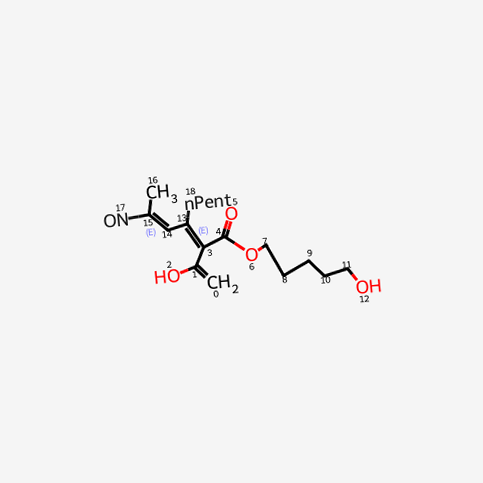 C=C(O)/C(C(=O)OCCCCCO)=C(\C=C(/C)N=O)CCCCC